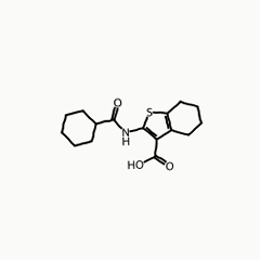 O=C(O)c1c(NC(=O)C2CCCCC2)sc2c1CCCC2